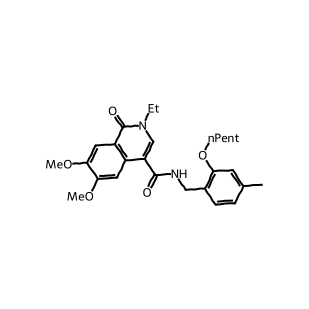 CCCCCOc1cc(C)ccc1CNC(=O)c1cn(CC)c(=O)c2cc(OC)c(OC)cc12